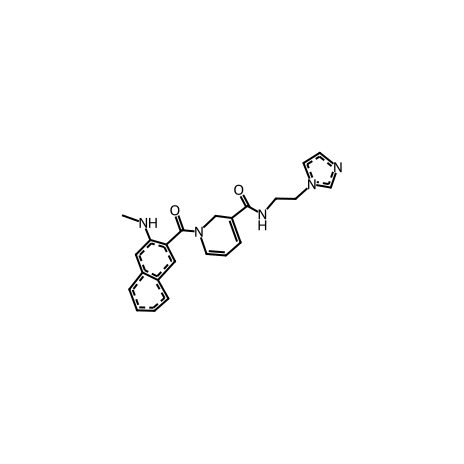 CNc1cc2ccccc2cc1C(=O)N1C=CC=C(C(=O)NCCn2ccnc2)C1